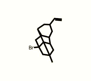 C=CC1CC2C3CC4(Br)CC2C(C1)C(C)(C3)C4